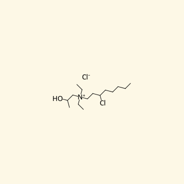 CCCCCC(Cl)CC[N+](CC)(CC)CC(C)O.[Cl-]